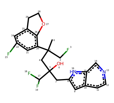 CC(CF)(CC(O)(Cc1cc2ccncc2[nH]1)C(F)F)c1cc(F)cc2c1OCC2